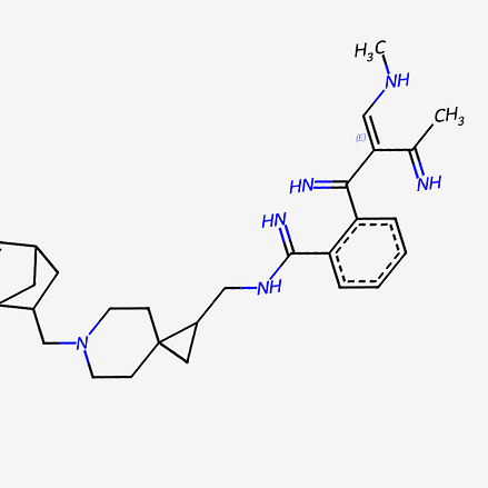 CN/C=C(\C(C)=N)C(=N)c1ccccc1C(=N)NCC1CC12CCN(CC1CC3C=CC1C3)CC2